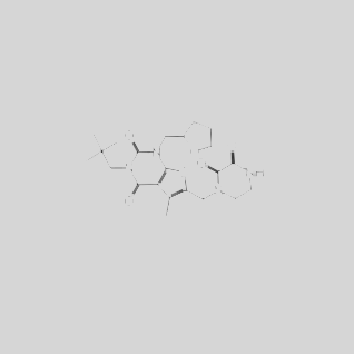 Cc1c(CN2CCNC(=O)C2=O)sc2c1c(=O)n(CC(C)(C)C)c(=O)n2CC1CCCO1